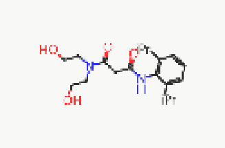 CC(C)c1cccc(C(C)C)c1NC(=O)CC(=O)N(CCO)CCO